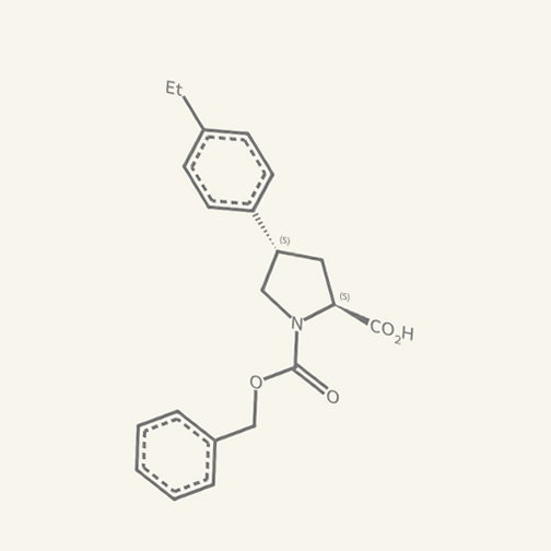 CCc1ccc([C@@H]2C[C@@H](C(=O)O)N(C(=O)OCc3ccccc3)C2)cc1